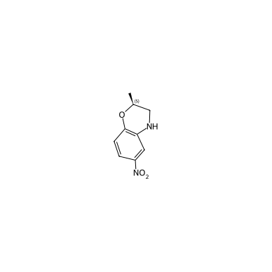 C[C@H]1CNc2cc([N+](=O)[O-])ccc2O1